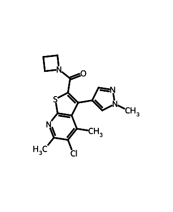 Cc1nc2sc(C(=O)N3CCC3)c(-c3cnn(C)c3)c2c(C)c1Cl